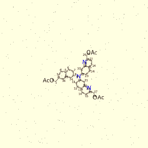 CC(=O)OCc1ccc2ccc(N(c3ccc4ccc(COC(C)=O)nc4c3)c3ccc4ccc(COC(C)=O)nc4c3)cc2c1